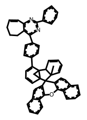 CC12C=CC=CC1C13CC1(C=CC=C3c1ccc(-c3nc(-c4ccccc4)nc4c3CCCC=C4)cc1)C21c2ccc3ccccc3c2Oc2c1ccc1ccccc21